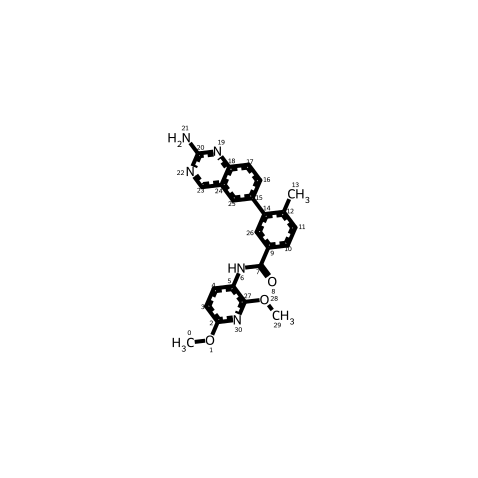 COc1ccc(NC(=O)c2ccc(C)c(-c3ccc4nc(N)ncc4c3)c2)c(OC)n1